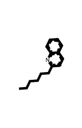 CCCCCCc1[c]cc2ccccc2n1